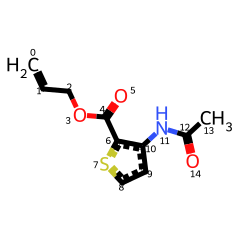 C=CCOC(=O)c1sccc1NC(C)=O